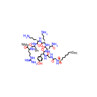 CCCCCCCCCCCCCCCCS(=O)(=O)NCC(=O)NCC(=O)N[C@@H](Cc1ccc(O)cc1)C(=O)N[C@@H](CCC(N)=O)C(=O)N[C@@H](CCCCN)C(=O)N[C@@H](CCCCN)C(=O)N[C@@H](CC(C)C)C(=O)N[C@@H](CCCNC(=N)N)C(=O)NC